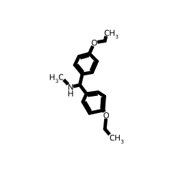 CCOc1ccc(C(NC)c2ccc(OCC)cc2)cc1